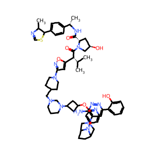 CC1N=CSC1c1ccc([C@H](C)NC(=O)[C@@H]2C[C@@H](O)CN2C(=O)[C@@H](c2cc(N3CCC(CN4CCCN(C5CC(Oc6cc(N7C8CCC7CN(c7cc(-c9ccccc9O)nnc7N)C8)ccn6)C5)C4)CC3)no2)C(C)C)cc1